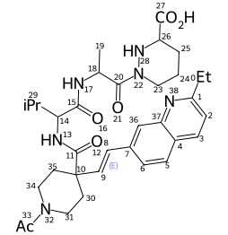 CCc1ccc2ccc(/C=C/C3(C(=O)NC(C(=O)NC(C)C(=O)N4CCCC(C(=O)O)N4)C(C)C)CCN(C(C)=O)CC3)cc2n1